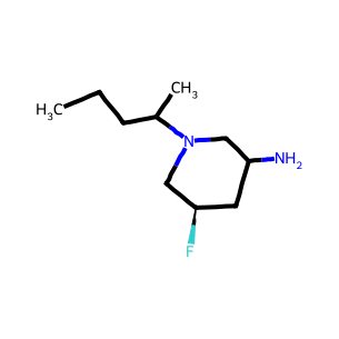 CCCC(C)N1CC(N)C[C@@H](F)C1